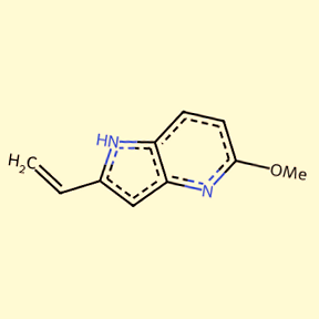 C=Cc1cc2nc(OC)ccc2[nH]1